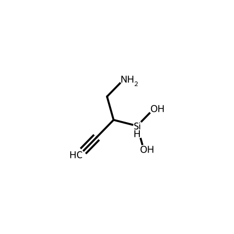 C#CC(CN)[SiH](O)O